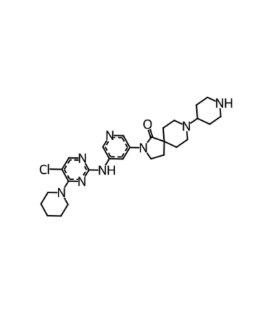 O=C1N(c2cncc(Nc3ncc(Cl)c(N4CCCCC4)n3)c2)CCC12CCN(C1CCNCC1)CC2